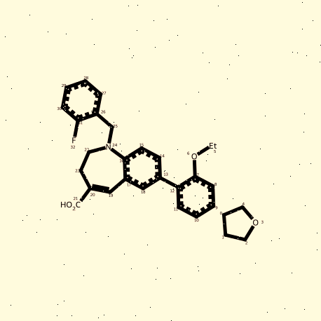 C1CCOC1.CCOc1ccccc1-c1ccc2c(c1)C=C(C(=O)O)CCN2Cc1ccccc1F